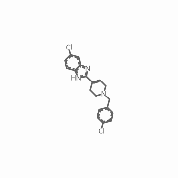 Clc1ccc(CN2CC=C(c3nc4cc(Cl)ccc4[nH]3)CC2)cc1